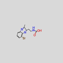 Cc1nc2cccc(Br)c2nc1CCNC(=O)O